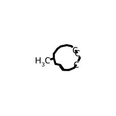 CC1C/C=C/CCCCCCCCCCC1